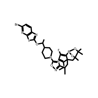 CSC1=CC(F)=C2B3OC(C)(C)C(C)(CC12CC(C)c1noc(N2CCC(C(C)Oc4nc5ccc(Br)nc5s4)CC2)n1)O3